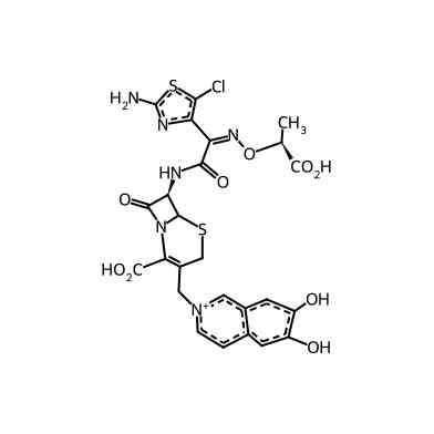 C[C@H](O/N=C(\C(=O)N[C@@H]1C(=O)N2C(C(=O)O)=C(C[n+]3ccc4cc(O)c(O)cc4c3)CSC12)c1nc(N)sc1Cl)C(=O)O